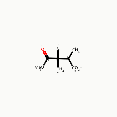 COC(=O)C(C)(C)C(C)C(=O)O